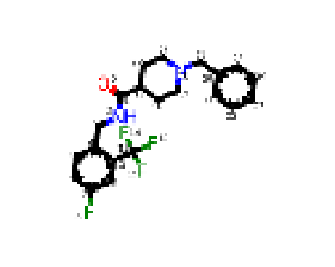 O=C(NCc1ccc(F)cc1C(F)(F)F)C1CCN(Cc2ccccc2)CC1